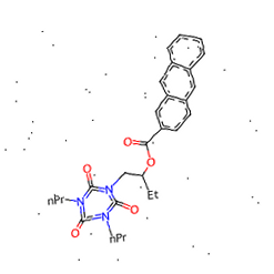 CCCn1c(=O)n(CCC)c(=O)n(CC(CC)OC(=O)c2ccc3cc4ccccc4cc3c2)c1=O